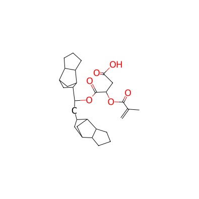 C=C(C)C(=O)OC(CC(=O)O)C(=O)OC(CC1CC2CC1C1CCCC21)C1CC2CC1C1CCCC21